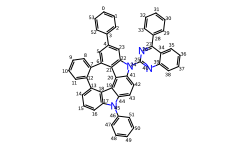 c1ccc(-c2cc3c4ccccc4c4cccc5c4c4c6c3c(c2)n(-c2nc(-c3ccccc3)c3ccccc3n2)c6ccc4n5-c2ccccc2)cc1